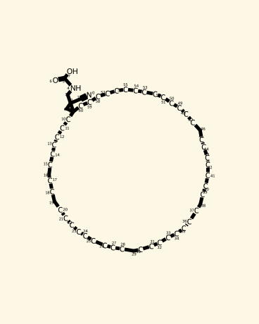 N#CC1(CNC(=O)O)CC12CCCCCCCCCCCCCCCCCCCCCCCCCCCCCCCCCCCCCCCCCCCCCCCCCCC2